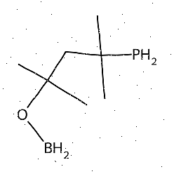 BOC(C)(C)CC(C)(C)P